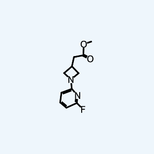 COC(=O)CC1CN(c2cccc(F)n2)C1